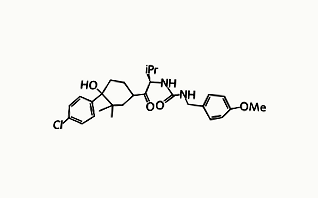 COc1ccc(CNC(=O)N[C@@H](C(=O)C2CCC(O)(c3ccc(Cl)cc3)C(C)(C)C2)C(C)C)cc1